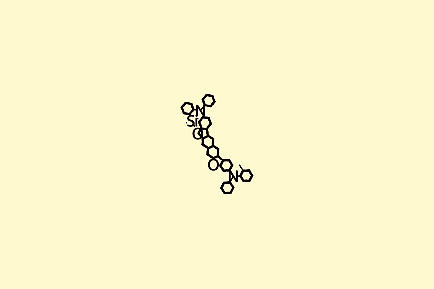 Cc1ccccc1N(c1ccccc1)c1ccc2c(c1)oc1cc3cc4oc5cc(N(c6ccccc6)c6ccccc6[Si](C)(C)C)ccc5c4cc3cc12